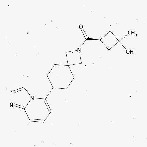 C[C@]1(O)C[C@@H](C(=O)N2CC3(CCC(c4cccc5nccn45)CC3)C2)C1